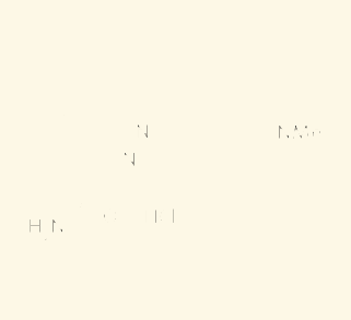 CN[C@@H](C)c1ccc(-n2cc3cccc(C(N)=O)c3n2)cc1.Cl